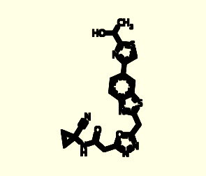 CC(O)c1nc(-c2ccc3nc(Cc4nnc(CC(=O)NC5(C#N)CC5)o4)sc3c2)cs1